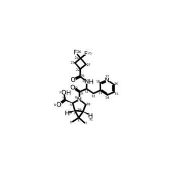 CC1(C)[C@@H]2[C@@H](C(=O)O)N(C(=O)C(Cc3cccnc3)NC(=O)C3CC(F)(F)C3)C[C@@H]21